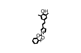 Cc1cc(/C=C/c2ccn(C(=O)Oc3ccccc3F)c2)cc(C)c1O